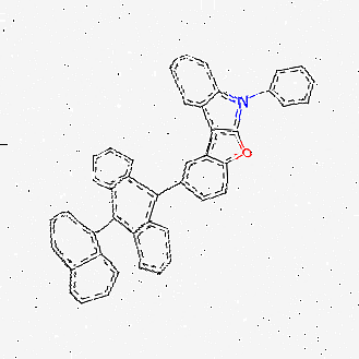 c1ccc(-n2c3ccccc3c3c4cc(-c5c6ccccc6c(-c6cccc7ccccc67)c6ccccc56)ccc4oc32)cc1